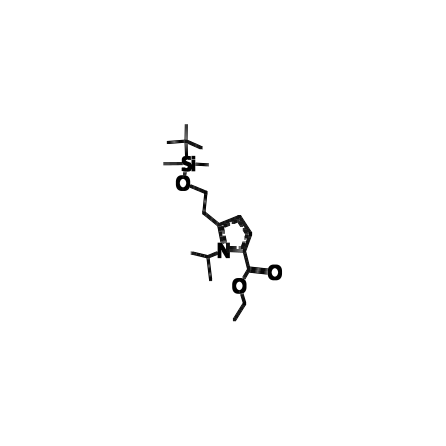 CCOC(=O)c1ccc(CCO[Si](C)(C)C(C)(C)C)n1C(C)C